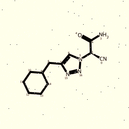 N#C[C@H](C(N)=O)n1cc([CH]C2CCCCC2)nn1